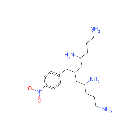 NCCCC(N)CC(Cc1ccc([N+](=O)[O-])cc1)CC(N)CCCN